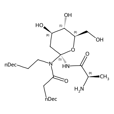 CCCCCCCCCCCCN(C(=O)CCCCCCCCCCC)[C@@]1(NC(=O)[C@@H](C)N)C[C@@H](O)[C@H](O)[C@@H](CO)O1